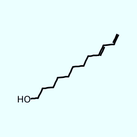 C=CC=CCCCCCCCCO